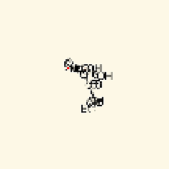 C=CC[N+]1(C2CCCCCC2)CCN(C(=O)O[C@H]2/C=C/[C@H](C)[C@@H](/C(C)=C/C=C/[C@](C)(O)C[C@H]3O[C@@H]3[C@H](C)[C@@H](O)CC)OC(=O)C[C@H](O)CC[C@@]2(C)O)CC1